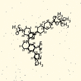 CC(=O)N1CCc2c(c(N3CCCc4cc(-c5cnn(C)c5)c(C(F)F)cc43)nn2C2CCC3(CC2)CCN(C(=O)OC(C)(C)C)CC3)C1